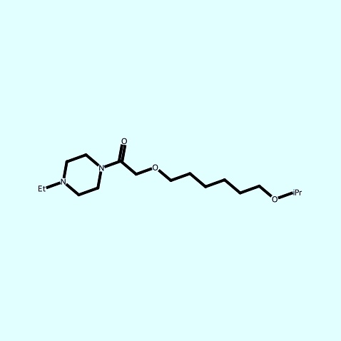 CCN1CCN(C(=O)COCCCCCCOC(C)C)CC1